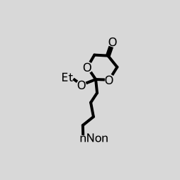 CCCCCCCCCCCCCC1(OCC)OCC(=O)CO1